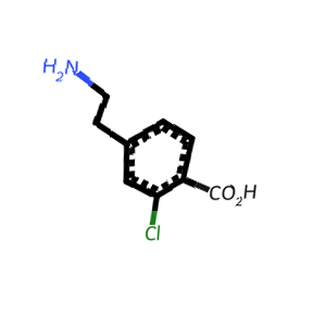 NCCc1ccc(C(=O)O)c(Cl)c1